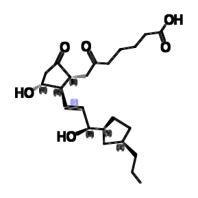 CCC[C@@H]1CC[C@H]([C@@H](O)/C=C/[C@H]2[C@H](O)CC(=O)[C@@H]2CC(=O)CCCCC(=O)O)C1